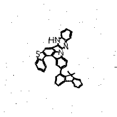 CC1(C)c2ccccc2-c2cccc(-c3ccc4c(c3)c3c5c(cc6c7c(n4c63)N=C3C=CC=CC3N7)sc3ccccc35)c21